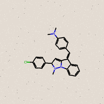 CN(C)c1ccc(/C=c2\c3n(c4ccccc24)N(C)C(c2ccc(Cl)cc2)C=3)cc1